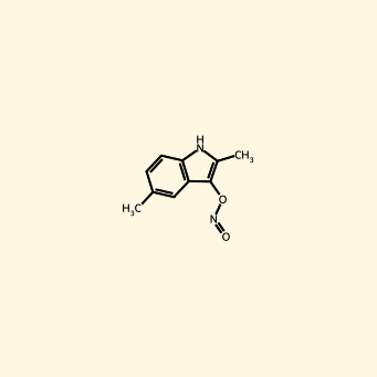 Cc1ccc2[nH]c(C)c(ON=O)c2c1